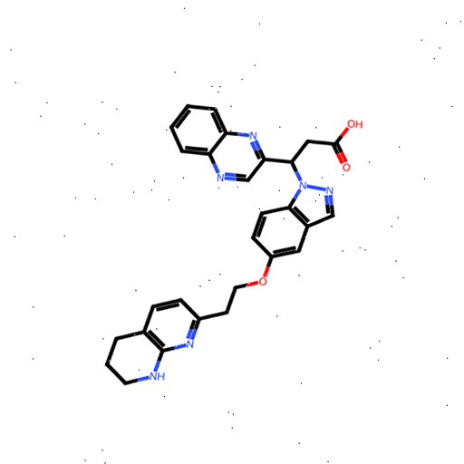 O=C(O)CC(c1cnc2ccccc2n1)n1ncc2cc(OCCc3ccc4c(n3)NCCC4)ccc21